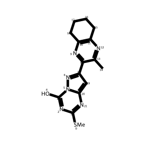 CSc1nc(O)n2nc(-c3nc4c(nc3C)CCCC4)cc2n1